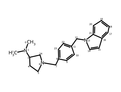 CN(C)C1CCN(Cc2ccc(Cn3ccc4ccccc43)cc2)C1